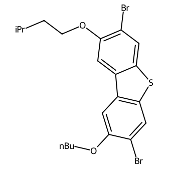 CCCCOc1cc2c(cc1Br)sc1cc(Br)c(OCCC(C)C)cc12